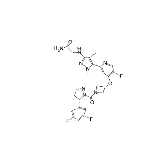 Cc1c(NCC(N)=O)nn(C)c1-c1cc(OC2CN(C(=O)N3N=CC[C@H]3c3cc(F)cc(F)c3)C2)c(F)cn1